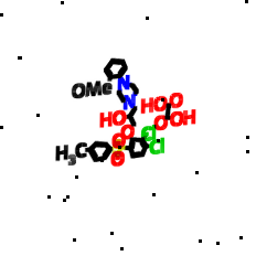 COc1ccccc1N1CCN(CC(O)COc2c(S(=O)(=O)c3ccc(C)cc3)ccc(Cl)c2Cl)CC1.O=C(O)C(=O)O